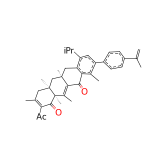 C=C(C)c1ccc(-c2cc(C(C)C)c3c(c2C)C(=O)C2=C(C)[C@@]4(C)C(=O)C(C(C)=O)=C(C)C[C@@]4(C)C[C@@]2(C)C3)cc1